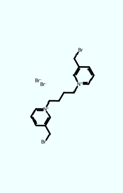 BrCc1ccc[n+](CCCC[n+]2cccc(CBr)c2)c1.[Br-].[Br-]